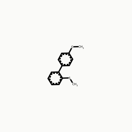 COc1ccc(-c2ccccc2SC)cc1